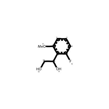 COc1cccc(F)c1C(O)CO